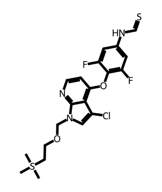 CS(C)(C)CCOCn1cc(Cl)c2c(Oc3c(F)cc(NC=S)cc3F)ccnc21